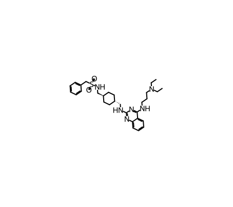 CCN(CC)CCCNc1nc(NC[C@H]2CC[C@H](CNS(=O)(=O)Cc3ccccc3)CC2)nc2ccccc12